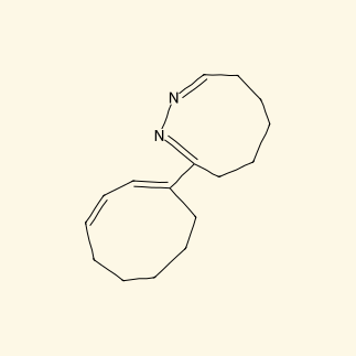 C1=CCCCCCC(C2=NN=CCCCCC2)=C1